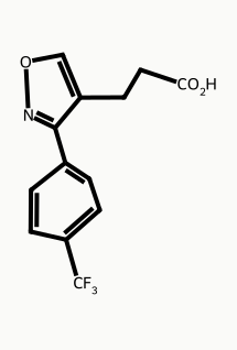 O=C(O)CCc1conc1-c1ccc(C(F)(F)F)cc1